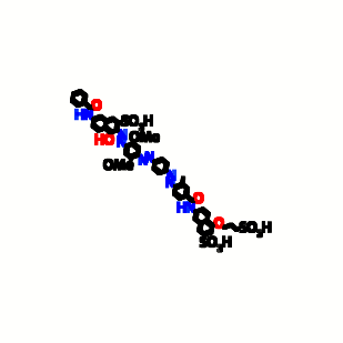 COc1cc(N=Nc2c(S(=O)(=O)O)cc3cc(NC(=O)c4ccccc4)ccc3c2O)c(OC)cc1N=Nc1ccc(N=Nc2ccc(C(=O)Nc3ccc4c(OCCCS(=O)(=O)O)cc(S(=O)(=O)O)cc4c3)cc2C)cc1